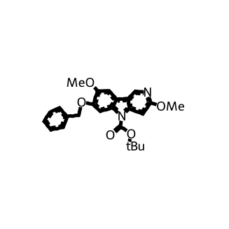 COc1cc2c(cn1)c1cc(OC)c(OCc3ccccc3)cc1n2C(=O)OC(C)(C)C